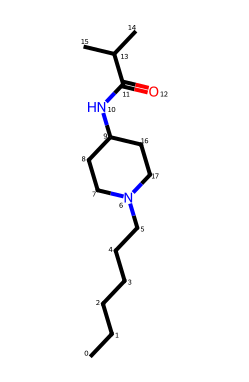 CCCCCCN1CCC(NC(=O)C(C)C)CC1